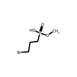 COP(=O)(O)CCCBr